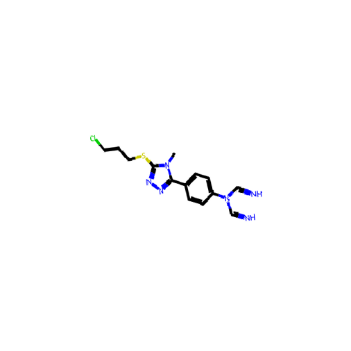 Cn1c(SCCCCl)nnc1-c1ccc(N(C=N)C=N)cc1